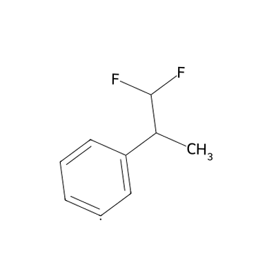 CC(c1c[c]ccc1)C(F)F